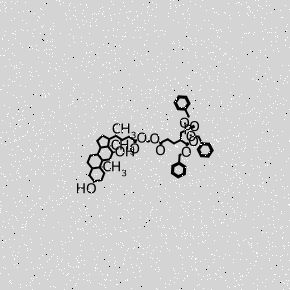 C[C@H](CCC(=O)OCOC(=O)CCC(CP(=O)(OCc1ccccc1)OCc1ccccc1)C(=O)OCc1ccccc1)C1CCC2C3CCC4C[C@H](O)CC[C@]4(C)C3C[C@H](O)[C@@]21C